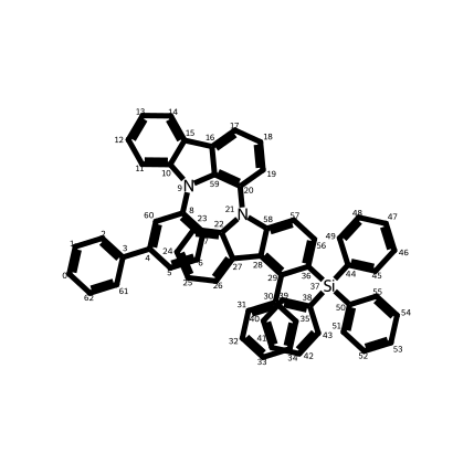 c1ccc(-c2cccc(-n3c4ccccc4c4cccc(-n5c6ccccc6c6c(-c7ccccc7)c([Si](c7ccccc7)(c7ccccc7)c7ccccc7)ccc65)c43)c2)cc1